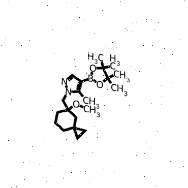 COC1(Cn2ncc(B3OC(C)(C)C(C)(C)O3)c2C)CCCC2(CC2)C1